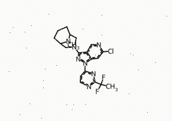 CN1C2CCCC1CN(c1nn(-c3ccnc(C(C)(F)F)n3)c3cc(Cl)ncc13)C2